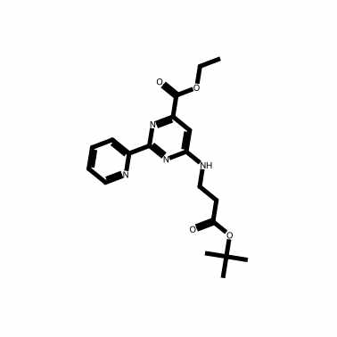 CCOC(=O)c1cc(NCCC(=O)OC(C)(C)C)nc(-c2ccccn2)n1